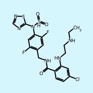 CCNCCNc1cc(Cl)ccc1C(=O)NCc1cc(F)c(N(c2ncns2)[SH](=O)=O)cc1F